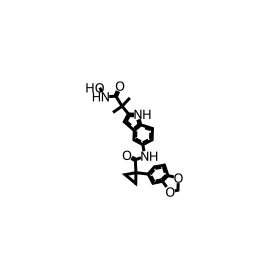 CC(C)(C(=O)NO)c1cc2cc(NC(=O)C3(c4ccc5c(c4)OCO5)CC3)ccc2[nH]1